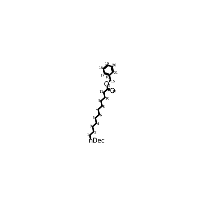 CCCCCCCCCCCCCCCCCCCCCC(=O)OCc1ccccc1